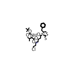 CC(C)[C@H](NC(=O)OC(C)(C)C)C(=O)OC(/C=C/CCCl)CC(=O)N1C(=S)SCC1Cc1ccccc1